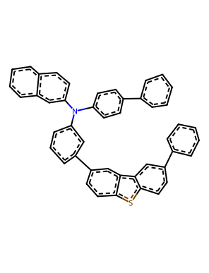 c1ccc(-c2ccc(N(c3cccc(-c4ccc5sc6ccc(-c7ccccc7)cc6c5c4)c3)c3ccc4ccccc4c3)cc2)cc1